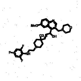 COc1ccc2ncc(CN3CCOCC3)c(C(O)CCC3(C(=O)O)CCN(CCNc4c(F)cc(F)cc4F)CC3)c2c1